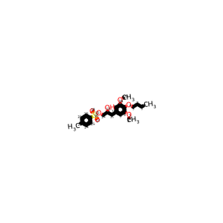 CCCCOc1c(OC)cc(CC(O)COS(=O)(=O)c2ccc(C)cc2)cc1OC